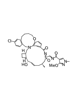 COc1nn(C)cc1C(=O)/N=C/S1(=O)=NC(=O)c2ccc3c(c2)N(Cc2ccc(Cl)cc2CCCCO3)C[C@@H]2CC[C@H]2[C@@H](O)/C=C/C[C@H](C)C1